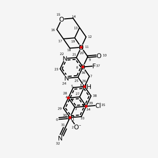 C=[N+]([O-])c1ccc(COC(=O)N2CC3COCC(C2)C3Oc2ncnc(Nc3ccc(C#N)cc3Cl)c2F)cc1